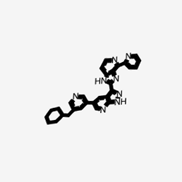 c1ccc(-c2nccc3[nH]c(-c4n[nH]c5ncc(-c6cncc(CC7CCCCC7)c6)cc45)nc23)nc1